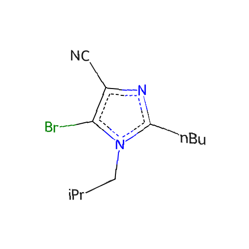 CCCCc1nc(C#N)c(Br)n1CC(C)C